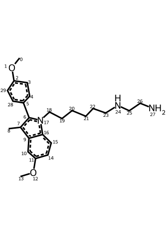 COc1ccc(-c2c(C)c3cc(OC)ccc3n2CCCCCCNCCN)cc1